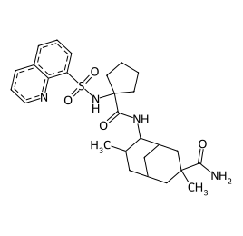 CC1CC2CC(CC(C)(C(N)=O)C2)C1NC(=O)C1(NS(=O)(=O)c2cccc3cccnc23)CCCC1